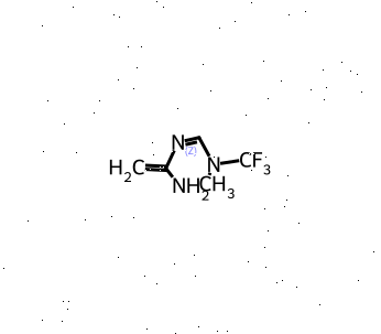 C=C(N)/N=C\N(C)C(F)(F)F